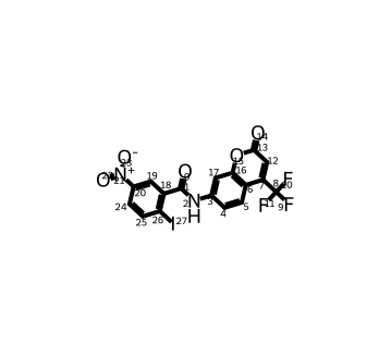 O=C(Nc1ccc2c(C(F)(F)F)cc(=O)oc2c1)c1cc([N+](=O)[O-])ccc1I